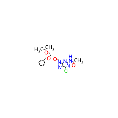 CC(=O)Nc1nc(Cl)c2ncn(COCC(COC(C)C)OCc3ccccc3)c2n1